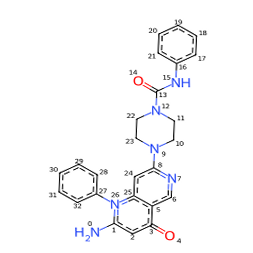 Nc1cc(=O)c2cnc(N3CCN(C(=O)Nc4ccccc4)CC3)cc2n1-c1ccccc1